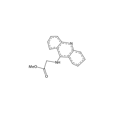 COC(=O)CNc1c2ccccc2nc2ccccc12